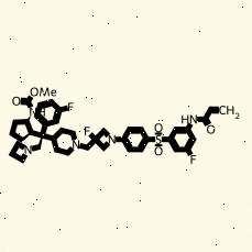 C=CC(=O)Nc1cc(F)cc(S(=O)(=O)c2ccc(N3CC(F)(CN4CCC([C@@](CN5CCC5)(c5cccc(F)c5)[C@H]5CCC[C@@H]5NC(=O)OC)CC4)C3)cc2)c1